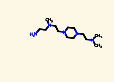 CN(C)CCN1CCN(CCN(C)CCN)CC1